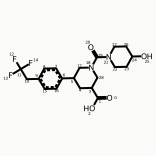 O=C(O)C1CC(c2ccc(CC(F)(F)F)cc2)CN(C(=O)N2CCC(O)CC2)C1